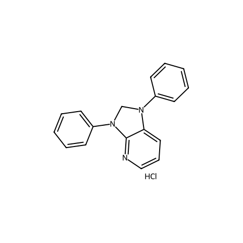 Cl.c1ccc(N2CN(c3ccccc3)c3ncccc32)cc1